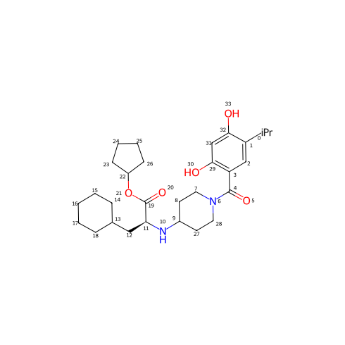 CC(C)c1cc(C(=O)N2CCC(N[C@@H](CC3CCCCC3)C(=O)OC3CCCC3)CC2)c(O)cc1O